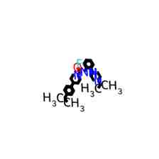 CC(C)c1ccc(C2CCN(C(=O)Nc3c(F)cccc3N3CCN(C(C)C)CC3)CC2)cc1